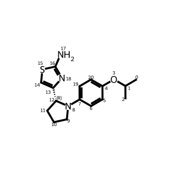 CC(C)Oc1ccc(N2CCC[C@@H]2c2csc(N)n2)cc1